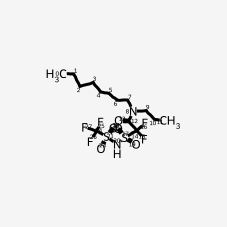 CCCCCCCCN(CCC)C(=O)C(F)(F)S(=O)(=O)NS(=O)(=O)C(F)(F)F